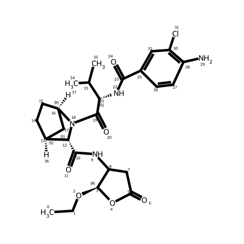 CCO[C@@H]1OC(=O)CC1NC(=O)[C@@H]1[C@H]2CC[C@H](C2)N1C(=O)[C@@H](NC(=O)c1ccc(N)c(Cl)c1)C(C)C